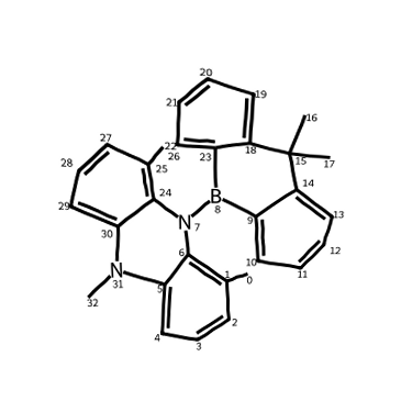 Cc1cccc2c1N(B1c3ccccc3C(C)(C)c3ccccc31)c1c(C)cccc1N2C